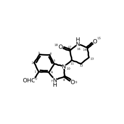 O=Cc1cccc2c1[nH]c(=O)n2C1CCC(=O)NC1=O